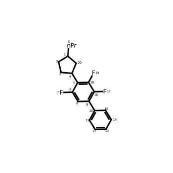 CCCC1CCC(c2c(F)cc(-c3ccccc3)c(F)c2F)C1